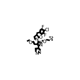 CCO/C=C/c1c(-c2ccnnc2)nn(COCC[Si](C)(C)C)c1N1CCC(Cc2cc(F)c(Cl)c(F)c2)C1=O